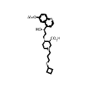 COc1ccc2nccc([C@@H](O)CC[C@@H]3CCN(CCCSC4CCC4)C[C@@H]3C(=O)O)c2c1